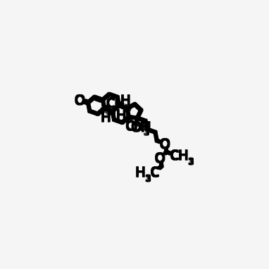 CCOC(C)OCCCCC1(O)CC[C@H]2[C@@H]3CCC4=CC(=O)CC[C@]4(C)[C@@H]3CC[C@@]21C